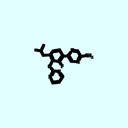 CC(C)Cc1ccc(-c2cnc(N)cn2)c(F)c1Oc1ncccn1